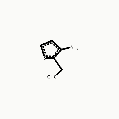 Nc1ccsc1CC=O